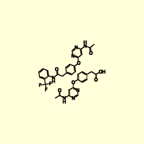 CC(=O)Nc1cc(Oc2ccc(CC(=O)Nc3ccccc3C(F)(F)F)cc2)ncn1.CC(=O)Nc1cc(Oc2ccc(CC(=O)O)cc2)ncn1